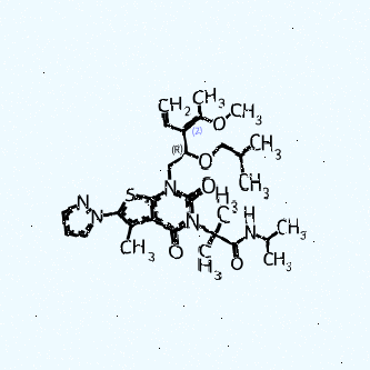 C=C/C(=C(\C)OC)[C@H](Cn1c(=O)n(C(C)(C)C(=O)NC(C)C)c(=O)c2c(C)c(-n3cccn3)sc21)OCC(C)C